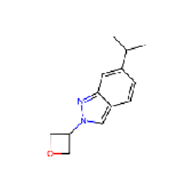 CC(C)c1ccc2cn(C3COC3)nc2c1